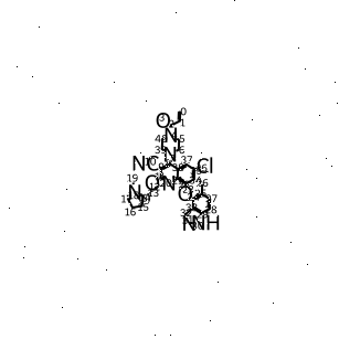 C=CC(=O)N1CCN(c2c(C#N)c(OC[C@@H]3CCCN3C)nc3c(Oc4c(C)ccc5[nH]ncc45)cc(Cl)cc23)CC1